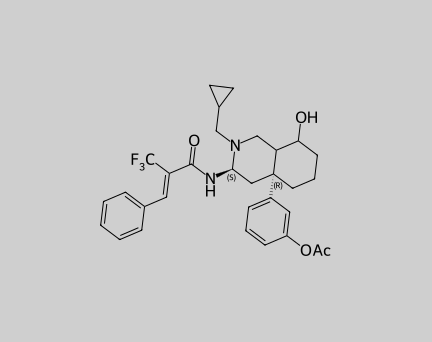 CC(=O)Oc1cccc([C@@]23CCCC(O)C2CN(CC2CC2)[C@H](NC(=O)C(=Cc2ccccc2)C(F)(F)F)C3)c1